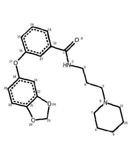 O=C(NCCCN1CCCCC1)c1cccc(Oc2ccc3c(c2)OCO3)c1